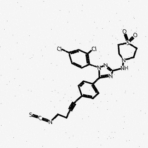 O=S1(=O)CCN(Nc2nc(-c3ccc(C#CCCN=C=S)cc3)n(-c3ccc(Cl)cc3Cl)n2)CC1